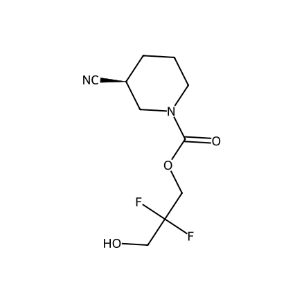 N#C[C@H]1CCCN(C(=O)OCC(F)(F)CO)C1